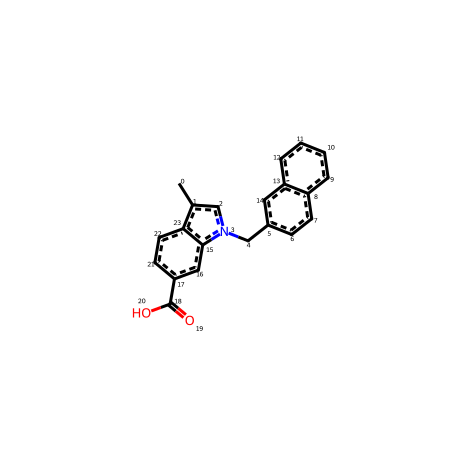 Cc1cn(Cc2ccc3ccccc3c2)c2cc(C(=O)O)ccc12